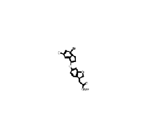 COC(=O)CC1COc2cc(O[C@@H]3CCc4c(Br)cc(Cl)cc43)ccc21